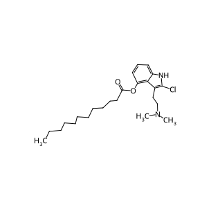 CCCCCCCCCCCC(=O)Oc1cccc2[nH]c(Cl)c(CCN(C)C)c12